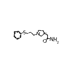 NC(=O)C[C@@H]1CCN(CCCSc2ccccc2)C1